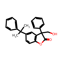 CC(C)(c1ccccc1)c1ccc2c(c1)C(CO)(c1ccccc1)C(=O)O2